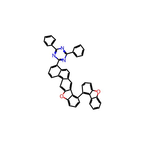 c1ccc(-c2nc(-c3ccccc3)nc(-c3cccc4c3ccc3cc5c(cc34)oc3cccc(-c4cccc6oc7ccccc7c46)c35)n2)cc1